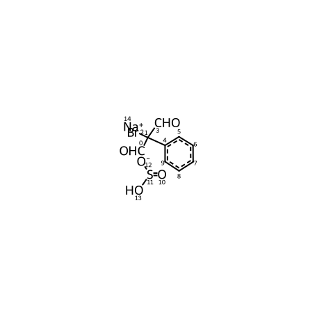 O=CC(Br)(C=O)c1ccccc1.O=S([O-])O.[Na+]